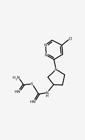 N=C(N)SC(=N)NC1CCN(c2cc(Cl)cnn2)C1